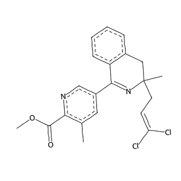 COC(=O)c1ncc(C2=NC(C)(CC=C(Cl)Cl)Cc3ccccc32)cc1C